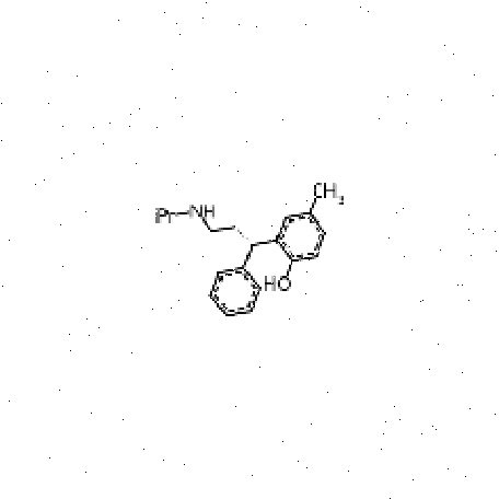 Cc1ccc(O)c([C@@H](CCNC(C)C)c2ccccc2)c1